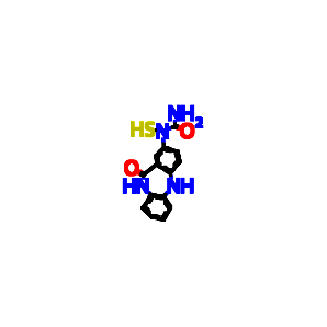 NC(=O)N(S)c1ccc2c(c1)C(=O)Nc1ccccc1N2